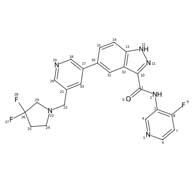 O=C(Nc1cnccc1F)c1n[nH]c2ccc(-c3cncc(CN4CCC(F)(F)C4)c3)cc12